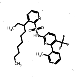 CCCCCCCC(CC)c1cccnc1S(=O)(=O)Nc1ccc(C(F)(F)F)c(-c2ccccc2C)n1